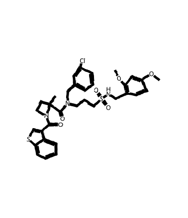 COc1ccc(CNS(=O)(=O)CCCN(Cc2cccc(Cl)c2)C(=O)C2(C)CCN2C(=O)c2csc3ccccc23)c(OC)c1